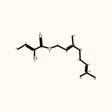 C/C=C(\CC)C(=O)OC/C=C(\C)CCC=C(C)C